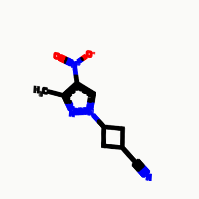 Cc1nn(C2CC(C#N)C2)cc1[N+](=O)[O-]